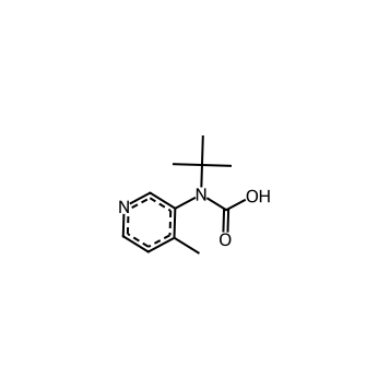 Cc1ccncc1N(C(=O)O)C(C)(C)C